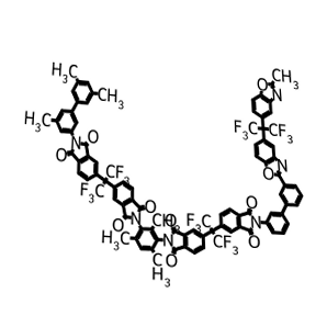 Cc1cc(C)cc(-c2cc(C)cc(N3C(=O)c4ccc(C(c5ccc6c(c5)C(=O)N(c5c(C)cc(C)c(N7C(=O)c8ccc(C(c9ccc%10c(c9)C(=O)N(c9cccc(-c%11cccc(-c%12nc%13cc(C(c%14ccc%15oc(C)nc%15c%14)(C(F)(F)F)C(F)(F)F)ccc%13o%12)c%11)c9)C%10=O)(C(F)(F)F)C(F)(F)F)cc8C7=O)c5C)C6=O)(C(F)(F)F)C(F)(F)F)cc4C3=O)c2)c1